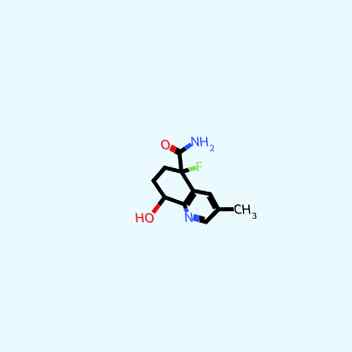 Cc1cnc2c(c1)C(F)(C(N)=O)CCC2O